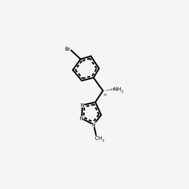 Cn1cc([C@@H](N)c2ccc(Br)cc2)nn1